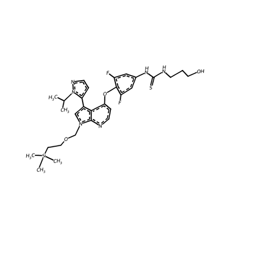 CC(C)n1nccc1-c1cn(COCC[Si](C)(C)C)c2nccc(Oc3c(F)cc(NC(=S)NCCCO)cc3F)c12